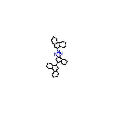 c1ccc2c(c1)cc(-c1cc3nn(-c4cc5ccccc5c5ccccc45)nc3c3ccccc13)c1ccccc12